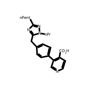 CCCCCc1nc(Cc2ccc(-c3cnccc3C(=O)O)cc2)n(CCC)n1